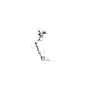 CC/C=C(\CC)[C@H](C)c1ccc(OCCNCCNCOC(C)C/C=C(\CC)CNC(CCN)C(=O)NCO)cc1